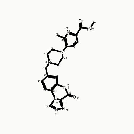 CNC(=O)c1ccc(N2CCN(Cc3ccc4c(c3)[nH]c(=O)c3nncn34)CC2)c(C)n1